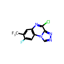 Fc1cc2c(cc1C(F)(F)F)nc(Cl)c1nncn12